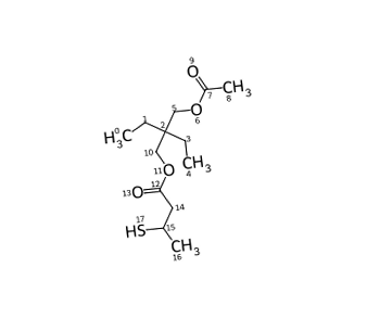 CCC(CC)(COC(C)=O)COC(=O)CC(C)S